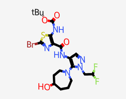 CC(C)(C)OC(=O)Nc1sc(Br)nc1C(=O)Nc1cnn(CC(F)F)c1N1CCCC(O)CC1